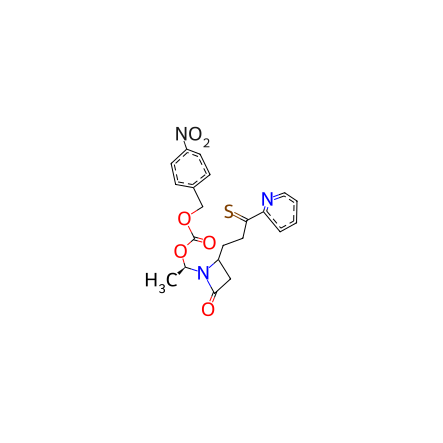 C[C@@H](OC(=O)OCc1ccc([N+](=O)[O-])cc1)N1C(=O)CC1CCC(=S)c1ccccn1